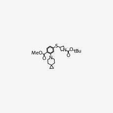 COC(=O)c1ccc(SC2CN(C(=O)OC(C)(C)C)C2)cc1N1CCC2(CC1)CC2